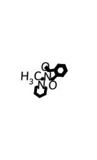 CC(N1CCCCC1)N1C(=O)c2ccccc2C1=O